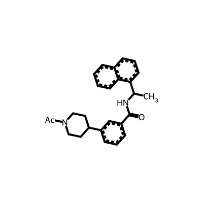 CC(=O)N1CCC(c2cccc(C(=O)NC(C)c3cccc4ccccc34)c2)CC1